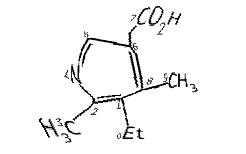 CCc1c(C)ncc(C(=O)O)c1C